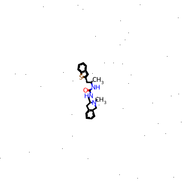 CC(Cc1cc2ccccc2s1)NC(=O)NCC1Cc2ccccc2CN1C